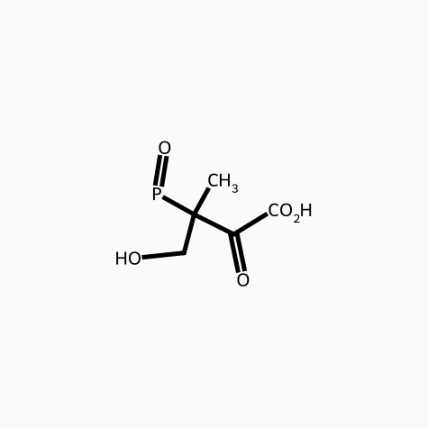 CC(CO)(P=O)C(=O)C(=O)O